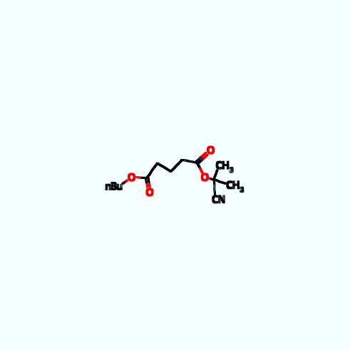 CCCCOC(=O)CCCC(=O)OC(C)(C)C#N